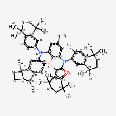 Cc1cc2c3c(c1)N(c1cc4c(cc1C)C(C)(C)CCC4(C)C)c1oc4c(c1B3c1cc3c(cc1N2c1ccc2c(c1)C(C)(C)CCC2(C)C)C1(C)CCC1[C@H]3C)C(C)(C)CCC4(C)C